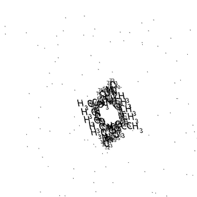 CC(C)C[C@H]1CO[C@H](C)CN(C)[C@@H](CC(C)C)CO[C@H](Cc2ccc(Cn3nnc4ccccc43)cc2)CN(C)[C@@H](CC(C)C)CO[C@H](C)CN(C)[C@@H](CC(C)C)CO[C@H](Cc2ccc(Cn3nnc4ccccc43)cc2)CN1C